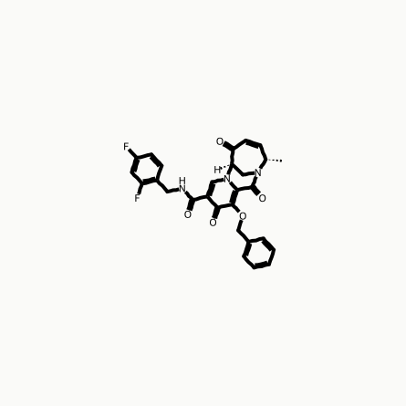 C[C@H]1C=CC(=O)[C@H]2CN1C(=O)c1c(OCc3ccccc3)c(=O)c(C(=O)NCc3ccc(F)cc3F)cn12